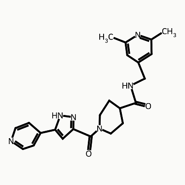 Cc1cc(CNC(=O)C2CCN(C(=O)c3cc(-c4ccncc4)[nH]n3)CC2)cc(C)n1